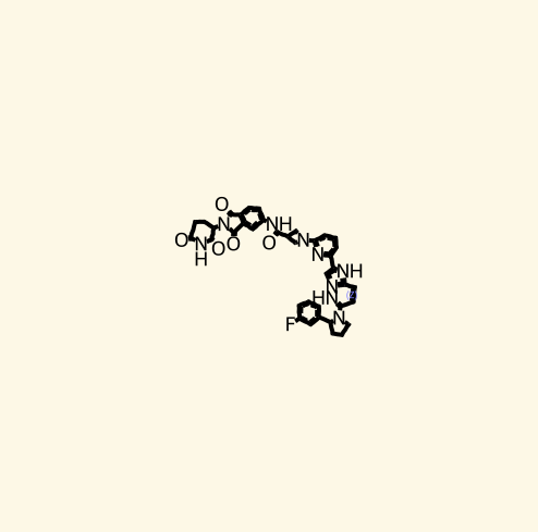 N=C(/C=C\c1ncc(-c2cccc(N3CC(C(=O)Nc4ccc5c(c4)C(=O)N(C4CCC(=O)NC4=O)C5=O)C3)n2)[nH]1)N1CCCC1c1cccc(F)c1